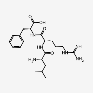 CC(C)C[C@H](N)C(=O)N[C@@H](CCCNC(=N)N)C(=O)N[C@@H](Cc1ccccc1)C(=O)O